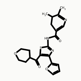 CC1=NC=C(C(=O)Nc2nc(-c3ccco3)c(C(=O)C3CCOCC3)s2)CC1C